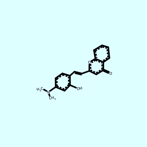 CN(C)c1ccc(C=Cc2cc(=O)c3ccccc3o2)c(O)c1